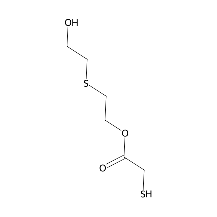 O=C(CS)OCCSCCO